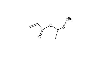 C=CC(=O)OC(C)SC(C)(C)C